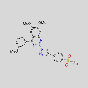 COc1cccc(-c2nc(-n3cc(-c4ccc(S(C)(=O)=O)cc4)cn3)nc3cc(OC)c(OC)cc23)c1